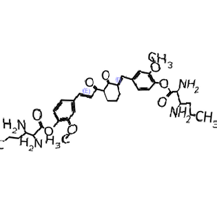 CCCC(N)C(N)C(=O)Oc1ccc(/C=C/C(=O)C2CCC/C(=C\c3ccc(OC(=O)C(N)C(N)CCC)c(OC)c3)C2=O)cc1OC